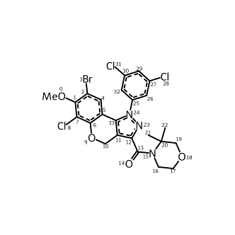 COc1c(Br)cc2c(c1Cl)OCc1c(C(=O)N3CCOCC3(C)C)nn(-c3cc(Cl)cc(Cl)c3)c1-2